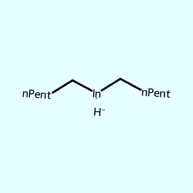 CCCCC[CH2][In][CH2]CCCCC.[H-]